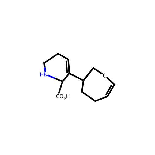 O=C(O)C1NCCC=C1C1CCC=CCC1